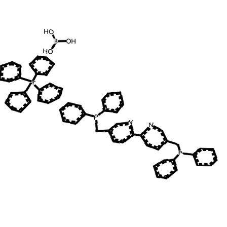 OB(O)O.c1cc[c]([Ir]([c]2ccccc2)([c]2ccccc2)[c]2ccccc2)cc1.c1ccc(P(Cc2ccc(-c3ccc(CP(c4ccccc4)c4ccccc4)cn3)nc2)c2ccccc2)cc1